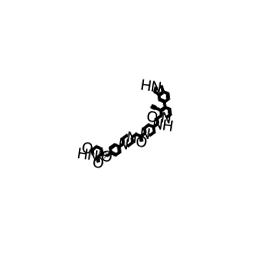 C#Cc1c(-c2ccc3c(c2)CNC3)ccnc1C(=O)NC1CCN(C(=O)CN2CCN(c3ccc(O[C@@H]4CCC(=O)NC4=O)cc3)CC2)CC1